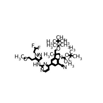 COCCc1c(Nc2nccc(-c3cc(C#N)c4c(c3)[C@@](C)(CO[Si](C)(C)C(C)(C)C)CN4C(=O)OC(C)(C)C)n2)cnn1CC(F)F